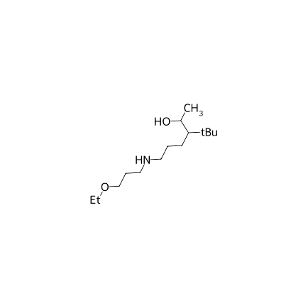 CCOCCCNCCCC(C(C)O)C(C)(C)C